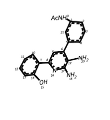 CC(=O)Nc1cccc(-c2cc(-c3ccccc3O)nc(N)c2N)c1